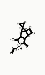 C=CNN1C(=C)C2C(C1=O)C1C3(CC3)C13C=CC23